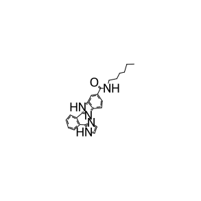 CCCCCCNC(=O)c1ccc2nc(-c3ccccc3-c3ncc[nH]3)[nH]c2c1